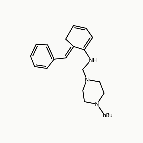 CCCCN1CCN(CNC2=CC=CCC2=Cc2ccccc2)CC1